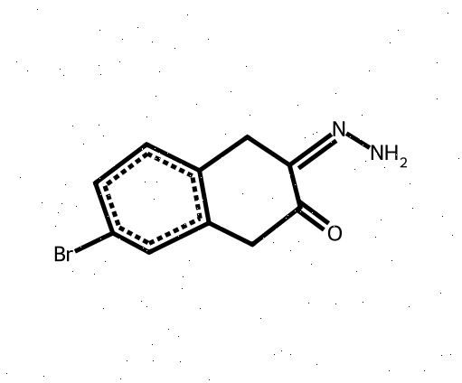 NN=C1Cc2ccc(Br)cc2CC1=O